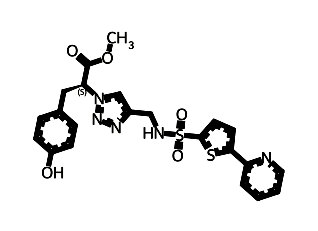 COC(=O)[C@H](Cc1ccc(O)cc1)n1cc(CNS(=O)(=O)c2ccc(-c3ccccn3)s2)nn1